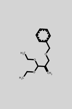 C=C(COCc1ccccc1)C(OCC)OCC